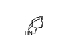 C1CN2CCC3C1CNC3C2